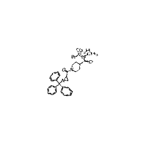 CC(C)[C@@H](C(=O)O)N(C)C(=O)C1CCN(C(=O)C2CN2C(c2ccccc2)(c2ccccc2)c2ccccc2)CC1